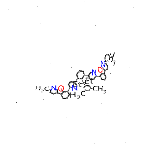 CCC(CC)(c1cc(C)cc(C)c1)c1c(-c2ccc(-c3cccc4c3oc3nc(C)ccc34)nc2)cccc1-c1ccc(-c2cccc3c2oc2nc(C)ccc23)nc1